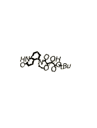 CC(C)(C)OC(=O)[C@H](O)[C@H]1OCCN(c2cccc3[nH]c(=O)ccc23)C1=O